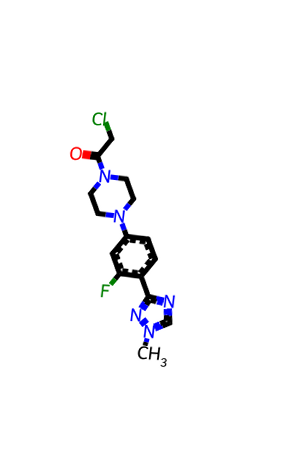 Cn1cnc(-c2ccc(N3CCN(C(=O)CCl)CC3)cc2F)n1